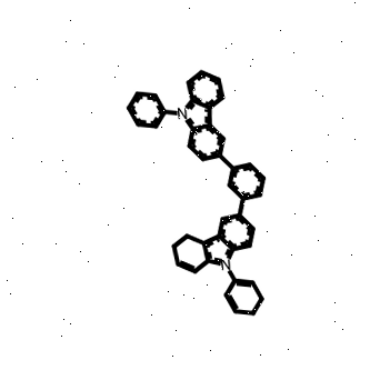 C1=CC(n2c3c(c4cc(-c5cccc(-c6ccc7c(c6)c6ccccc6n7-c6ccccc6)c5)ccc42)CCC=C3)=CCC1